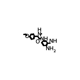 CCOc1ccc(C(NC)C(=O)Nc2ccc(N)c(C=N)c2)cc1